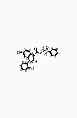 O=C(CNS(=O)(=O)c1ccccc1)Nc1ccc(Cl)cc1C(O)c1ccccc1Cl